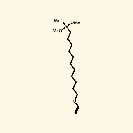 C=COCCCCCCCCCCC[Si](OC)(OC)OC